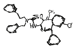 CN1C(=O)C(NC(=S)N(CCc2ccccc2)Cc2ccccc2)N=C(c2ccccc2)c2cc(Cl)ccc21